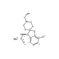 C[C](C)CN1CCC2(CC1)Cc1c(Cl)cccc1[C@H]2N[S@+]([O-])C(C)(C)C